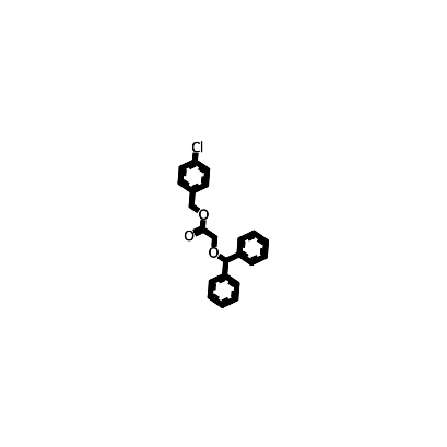 O=C(COC(c1ccccc1)c1ccccc1)OCc1ccc(Cl)cc1